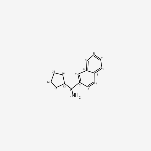 NC(c1[c]cc2ccccc2c1)C1CCCC1